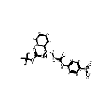 CC(C)(C)OC(=O)N[C@@H](COC(=O)Oc1ccc([N+](=O)[O-])cc1)C1CCCCC1